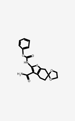 NC(=O)c1c(NC(=O)Oc2ccccc2)sc2c1CCC1(C2)OCCO1